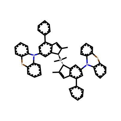 CC1=Cc2c(-c3ccccc3)cc(N3c4ccccc4Sc4ccccc43)cc2[C@@H]1[Si](C)(C)[C@H]1C(C)=Cc2c(-c3ccccc3)cc(N3c4ccccc4Sc4ccccc43)cc21